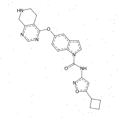 O=C(Nc1cc(C2CCC2)on1)n1ccc2cc(Oc3ncnc4c3CCNC4)ccc21